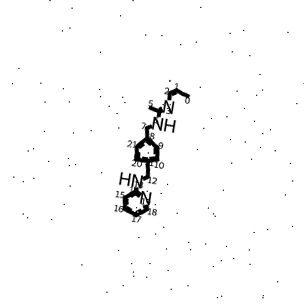 C/C=C\N=C(/C)NCc1ccc(CNc2ccccn2)cc1